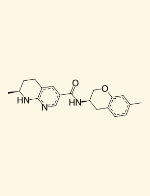 Cc1ccc2c(c1)OC[C@H](NC(=O)c1cnc3c(c1)CC[C@H](C)N3)C2